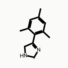 Cc1cc(C)c(C2=N[C]NC2)c(C)c1